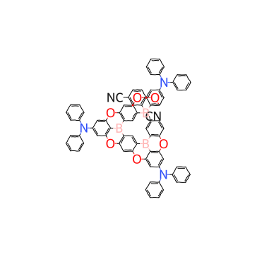 N#Cc1ccc2c(c1)B1c3cc4c(cc3Oc3cc(N(c5ccccc5)c5ccccc5)cc(c31)O2)Oc1cc(N(c2ccccc2)c2ccccc2)cc2c1B4c1cc3c(cc1O2)Oc1cc(N(c2ccccc2)c2ccccc2)cc2c1B3c1cc(C#N)ccc1O2